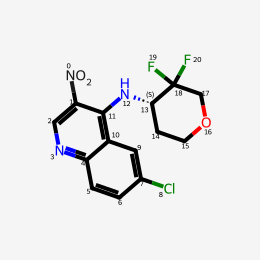 O=[N+]([O-])c1cnc2ccc(Cl)cc2c1N[C@H]1CCOCC1(F)F